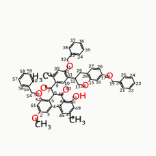 COc1ccc(C(C(=O)c2cc(C3COc4cc(OCc5ccccc5)ccc4C3)c(OCc3ccccc3)cc2C)C(=O)c2ccc(C)cc2O)c(OCc2ccccc2)c1